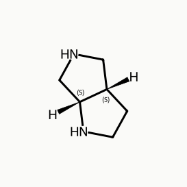 C1C[C@H]2CNC[C@H]2N1